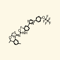 Cc1ccc(C(C)C)c(N2C(=O)CSC2=NC(=O)Nc2ccc(-c3ncn(-c4ccc(OC(F)(F)C(F)(F)F)cc4)n3)cc2F)c1